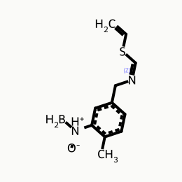 B[NH+]([O-])c1cc(C/N=C\SC=C)ccc1C